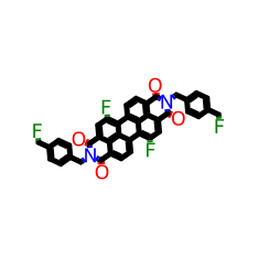 O=C1c2ccc3c4c(F)cc5c6c(ccc(c7c(F)cc(c2c37)C(=O)N1Cc1ccc(CF)cc1)c64)C(=O)N(Cc1ccc(CF)cc1)C5=O